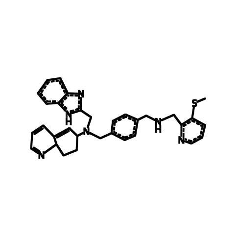 CSc1cccnc1CNCc1ccc(CN(Cc2nc3ccccc3[nH]2)C2C=C3C=CC=NC3CC2)cc1